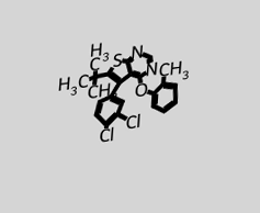 Cc1ccccc1Oc1ncnc2sc(C(C)(C)C)c(-c3ccc(Cl)c(Cl)c3)c12